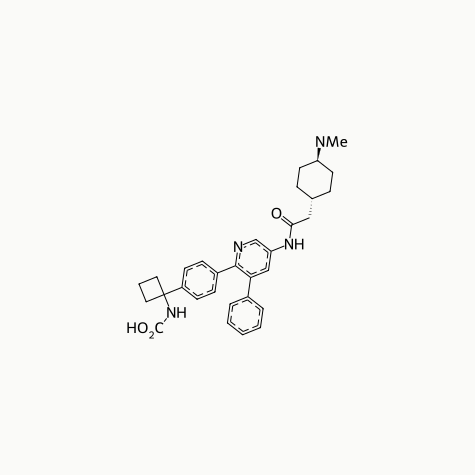 CN[C@H]1CC[C@H](CC(=O)Nc2cnc(-c3ccc(C4(NC(=O)O)CCC4)cc3)c(-c3ccccc3)c2)CC1